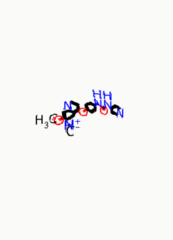 [C-]#[N+]c1cc2c(Oc3ccc(NC(=O)Nc4ccncc4)cc3)ccnc2cc1OC